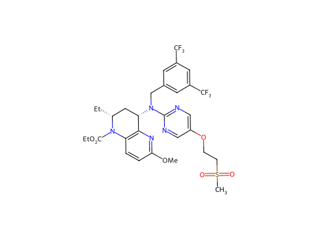 CCOC(=O)N1c2ccc(OC)nc2[C@@H](N(Cc2cc(C(F)(F)F)cc(C(F)(F)F)c2)c2ncc(OCCS(C)(=O)=O)cn2)C[C@H]1CC